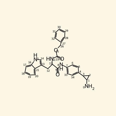 NC1CC1c1ccc(NC(=O)C(Cc2c[nH]c3ccccc23)NC(=O)OCc2ccccc2)cc1